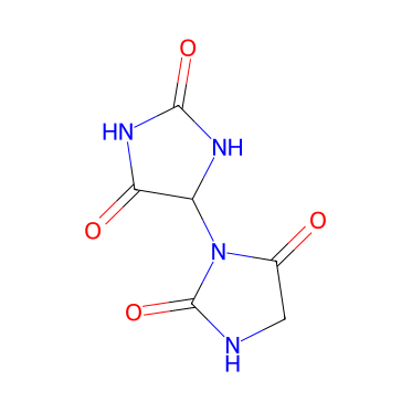 O=C1NC(=O)C(N2C(=O)CNC2=O)N1